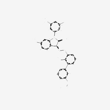 O=C(O)Oc1cccc(-c2cccc(NN=C3C(=O)N(c4cc(C(F)(F)F)cc(C(F)(F)F)c4)c4cc(C(F)(F)F)ccc43)c2O)c1